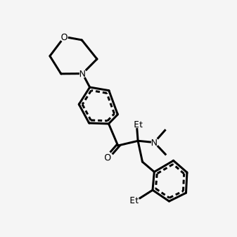 CCc1ccccc1CC(CC)(C(=O)c1ccc(N2CCOCC2)cc1)N(C)C